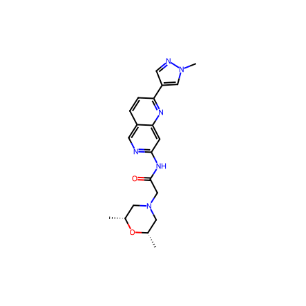 C[C@@H]1CN(CC(=O)Nc2cc3nc(-c4cnn(C)c4)ccc3cn2)C[C@H](C)O1